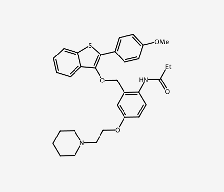 CCC(=O)Nc1ccc(OCCN2CCCCC2)cc1COc1c(-c2ccc(OC)cc2)sc2ccccc12